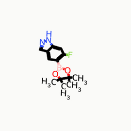 CC1(C)OB(c2cc3cn[nH]c3cc2F)OC1(C)C